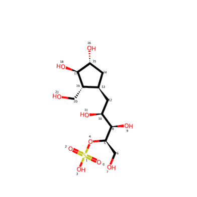 O=S(=O)(O)O[C@H](CO)[C@H](O)[C@@H](O)C[C@@H]1C[C@@H](O)[C@H](O)[C@H]1CO